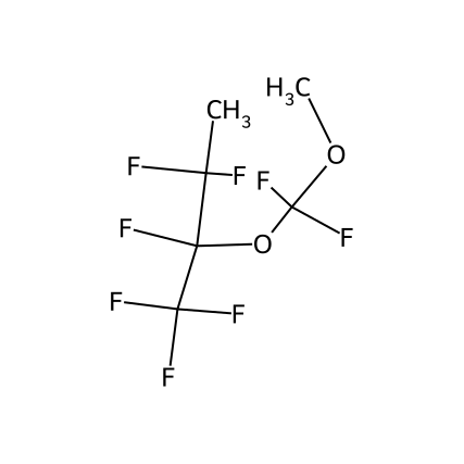 COC(F)(F)OC(F)(C(C)(F)F)C(F)(F)F